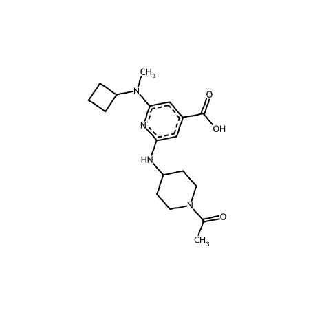 CC(=O)N1CCC(Nc2cc(C(=O)O)cc(N(C)C3CCC3)n2)CC1